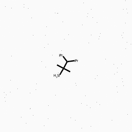 CC(C)C(C(C)C)C(C)(C)[SiH3]